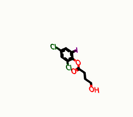 O=C(CCCO)Oc1c(Cl)cc(Cl)cc1I